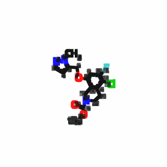 Cn1nccc1COc1cc(F)c(Cl)c2c1CN(C(=O)OC(C)(C)C)CC2